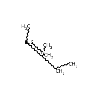 C=C(C(CCCCCCCCCC/C=C\CCCCCCCC)CCCCCCCCCC(C)CCCCCCCC)N(CCCC)CCCCCCCC